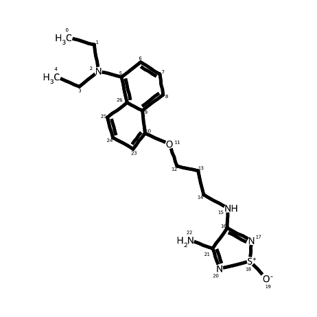 CCN(CC)c1cccc2c(OCCCNc3n[s+]([O-])nc3N)cccc12